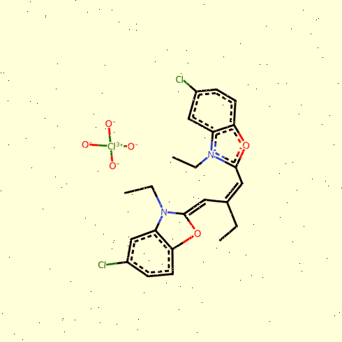 CCC(=Cc1oc2ccc(Cl)cc2[n+]1CC)C=C1Oc2ccc(Cl)cc2N1CC.[O-][Cl+3]([O-])([O-])[O-]